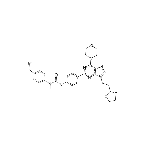 O=C(Nc1ccc(CBr)cc1)Nc1ccc(-c2nc(N3CCOCC3)c3ncn(CCC4OCCO4)c3n2)cc1